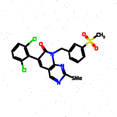 CSc1ncc2cc(-c3c(Cl)cccc3Cl)c(=O)n(Cc3cccc(S(C)(=O)=O)c3)c2n1